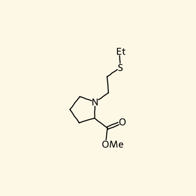 CCSCCN1CCCC1C(=O)OC